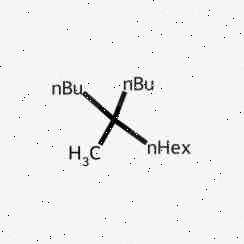 CCCCCCC(C)(CCCC)CCCC